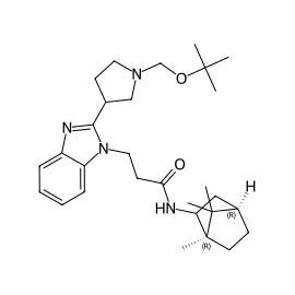 CC(C)(C)OCN1CCC(c2nc3ccccc3n2CCC(=O)NC2C[C@H]3CC[C@]2(C)C3(C)C)C1